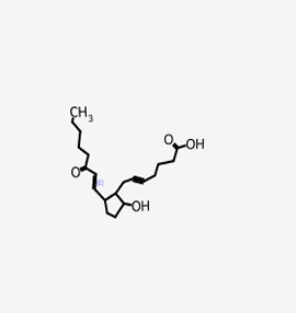 CCCCCC(=O)/C=C/C1CCC(O)C1CC#CCCCC(=O)O